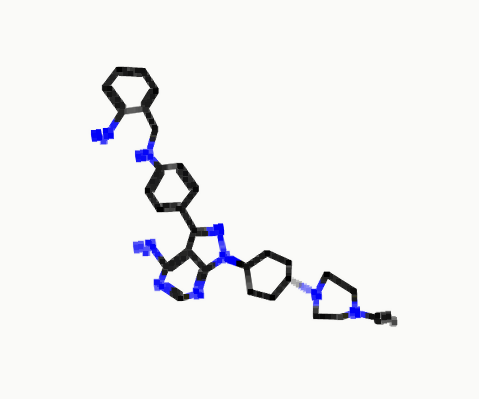 CN1CCN([C@H]2CC[C@H](n3nc(-c4ccc(NCc5ccccc5N)cc4)c4c(N)ncnc43)CC2)CC1